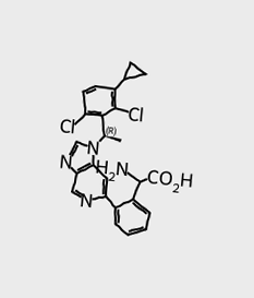 C[C@H](c1c(Cl)ccc(C2CC2)c1Cl)n1cnc2cnc(-c3ccccc3C(N)C(=O)O)cc21